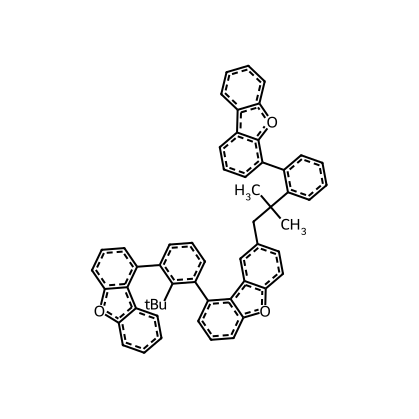 CC(C)(C)c1c(-c2cccc3oc4ccccc4c23)cccc1-c1cccc2oc3ccc(CC(C)(C)c4ccccc4-c4cccc5c4oc4ccccc45)cc3c12